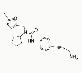 Cc1ccc(CN(C(=O)Nc2ccc(C#CCN)cc2)C2CCCC2)o1